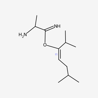 CC(C)C/C=C(/OC(=N)C(C)N)C(C)C